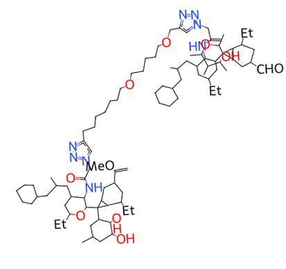 C=C(Cn1cc(COCCCCCOCCCCCCCc2cn(CC(=O)NC3C(CC(C)CC4CCCCC4)CC(CC)OC3C3(C4CC(C)CC(O)C4O)C4CC(C(=C)OC)CC(CC)C43)nn2)nn1)NC1C(CC(C)CC2CCCCC2)CC(CC)CC1C1(C(C)OC(C)C(C)C(C)O)C2CC(C=O)CC(CC)C21